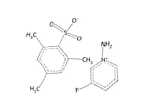 Cc1cc(C)c(S(=O)(=O)[O-])c(C)c1.N[n+]1cccc(F)c1